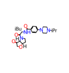 CC[C@H](C)C(NC(=O)c1ccc(N2CCN(C(C)C)CC2)cc1)C(=O)N1CC[C@H]2OCC(=O)[C@H]21